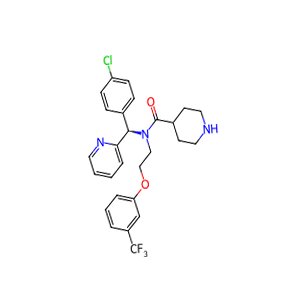 O=C(C1CCNCC1)N(CCOc1cccc(C(F)(F)F)c1)[C@H](c1ccc(Cl)cc1)c1ccccn1